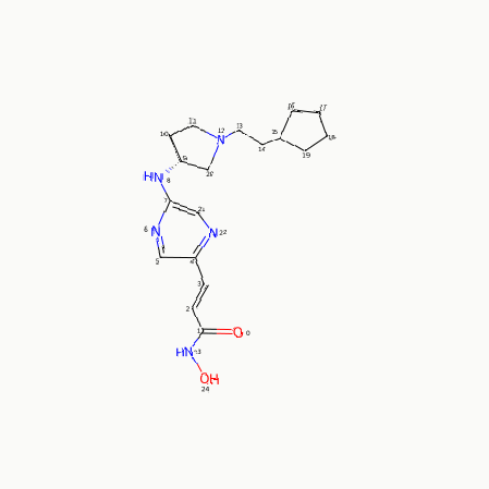 O=C(/C=C/c1cnc(N[C@@H]2CCN(CCC3CCCC3)C2)cn1)NO